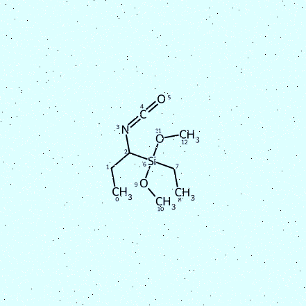 CCC(N=C=O)[Si](CC)(OC)OC